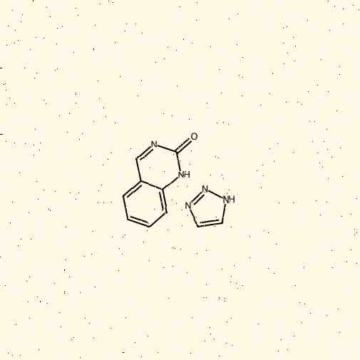 O=c1ncc2ccccc2[nH]1.c1c[nH]nn1